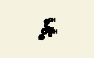 O=c1[nH]nc2cc(CN3CC[C@H](O)C3)c3ccc(-c4ccsc4)cc3n12